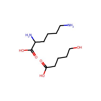 NCCCCC(N)C(=O)O.O=C(O)CCCCO